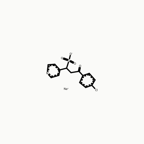 O=C(CC(c1ccncc1)S(=O)(=O)[O-])c1ccc(Cl)cc1.[Na+]